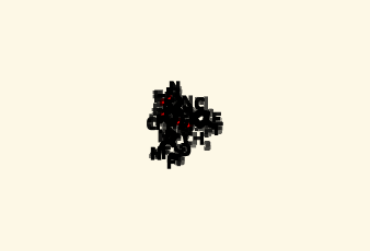 CN(C(=S)N(C)c1c([S+]([O-])C(F)(F)F)c(C#N)nn1-c1c(Cl)cc(C(F)(F)F)cc1Cl)c1c([S+]([O-])C(F)(F)F)c(C#N)nn1-c1c(Cl)cc(C(F)(F)F)cc1Cl